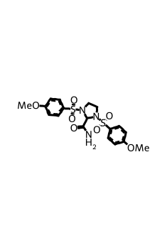 COc1ccc(S(=O)(=O)N2CCN(S(=O)(=O)c3ccc(OC)cc3)C2C(N)=O)cc1